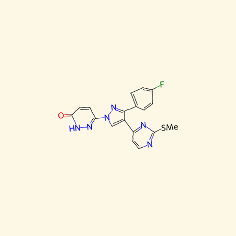 CSc1nccc(-c2cn(-c3ccc(=O)[nH]n3)nc2-c2ccc(F)cc2)n1